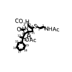 CC(=O)NC=CSC1=C(C(=O)O)N2C(=O)[C@H]([C@](C)(OC(C)=O)c3ccccc3)[C@H]2C1